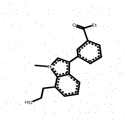 CCC(=O)c1cccc(-c2cn(C)c3c(CCO)cccc23)c1